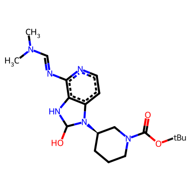 CN(C)/C=N/c1nccc2c1NC(O)N2[C@@H]1CCCN(C(=O)OC(C)(C)C)C1